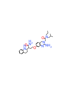 CCCN(CC(C)C)C(=O)CN1Cc2ccc(OCCC(C(N)=O)C3CCc4ccccc4N3)cc2N=C1N